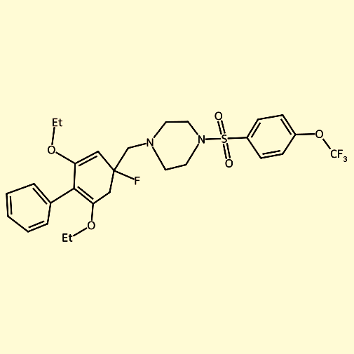 CCOC1=CC(F)(CN2CCN(S(=O)(=O)c3ccc(OC(F)(F)F)cc3)CC2)CC(OCC)=C1c1ccccc1